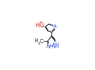 Cc1n[nH]cc1-c1cncc(O)c1